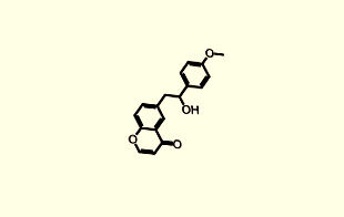 COc1ccc(C(O)Cc2ccc3occc(=O)c3c2)cc1